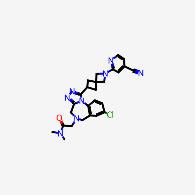 CN(C)C(=O)CN1Cc2cc(Cl)ccc2-n2c(nnc2C2CC3(C2)CN(c2cc(C#N)ccn2)C3)C1